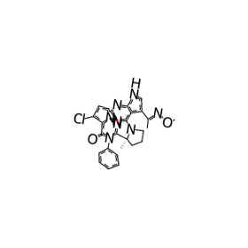 CO/N=C(\C)c1c[nH]c2ncnc(N3CCC[C@@]3(C)c3nn4ccc(Cl)c4c(=O)n3-c3ccccc3)c12